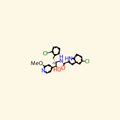 COc1cc(C(O)[C@H](Cc2ccccc2Cl)NC(=O)c2cc3cc(Cl)ccc3[nH]2)ccn1